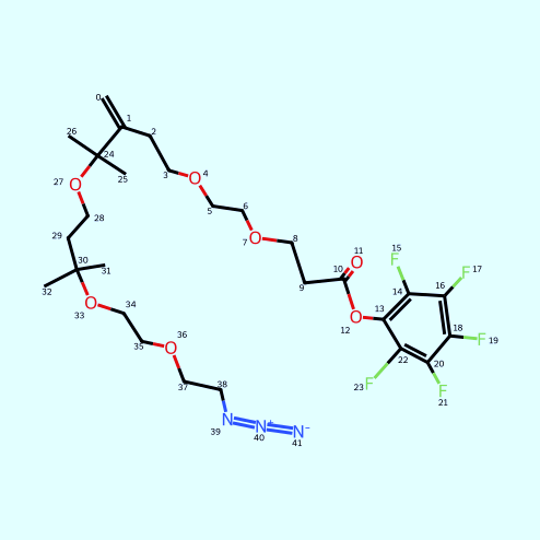 C=C(CCOCCOCCC(=O)Oc1c(F)c(F)c(F)c(F)c1F)C(C)(C)OCCC(C)(C)OCCOCCN=[N+]=[N-]